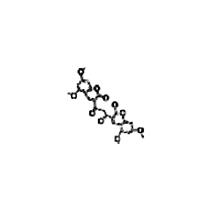 COc1cc(OC)c2cc(C(=O)CC(=O)c3cc4c(OC)cc(OC)cc4oc3=O)c(=O)oc2c1